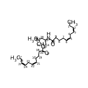 CC/C=C\C/C=C\CCCC(=O)NC(COC(=O)CCC/C=C\C/C=C\CC)CN(C)C